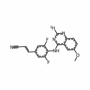 [2H]c1nc(Nc2c(F)cc(C=CC#N)cc2F)c2cc(OC)ccc2n1